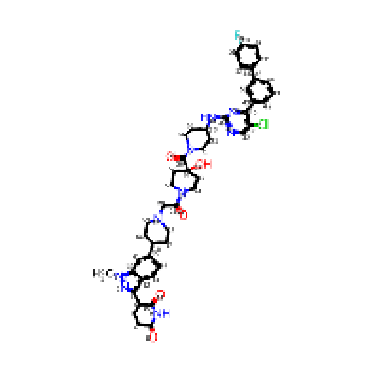 Cn1nc(C2CCC(=O)NC2=O)c2ccc(C3CCN(CC(=O)N4CCC(O)(C(=O)N5CCC(Nc6ncc(Cl)c(-c7cccc(-c8ccc(F)cc8)c7)n6)CC5)CC4)CC3)cc21